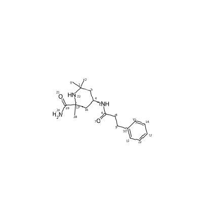 CC1(C)CC(NC(=O)[CH]Cc2ccccc2)CC(C)(C(N)=O)N1